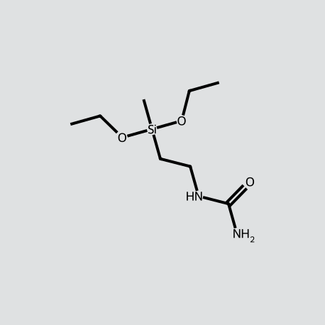 CCO[Si](C)(CCNC(N)=O)OCC